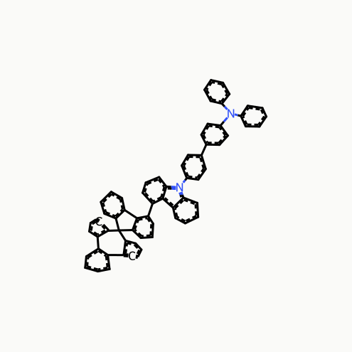 c1ccc(N(c2ccccc2)c2ccc(-c3ccc(-n4c5ccccc5c5c(-c6cccc7c6-c6ccccc6C76c7ccccc7-c7ccccc7-c7ccccc76)cccc54)cc3)cc2)cc1